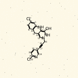 OC1=C2Nc3cc(Cl)ccc3CC2=CN(CC#Cc2ccc(Cl)nc2)N1